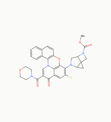 CC(C)(C)OC(=O)N1CC23CC2N(c2c(F)cc4c(=O)c(C(=O)N5CCOCC5)cn5c4c2Oc2ccc4ccccc4c2-5)CC13